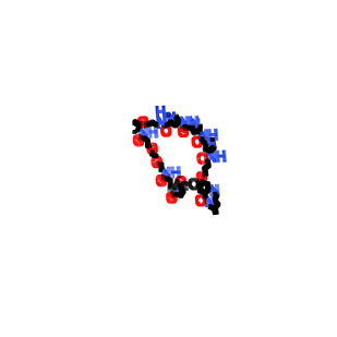 C=C1CC2C=Nc3cc(OCCCC(=O)Nc4cc(C(=O)Nc5cc(C(=O)Nc6cc(C(=O)NCCCOC(=C)[C@H](C)NC(=O)CCOCCOCCNC(=O)CCN7C(=O)C=CC7=O)n(C)c6)n(C)c5)n(C)c4)c(OC)cc3C(=O)N2C1